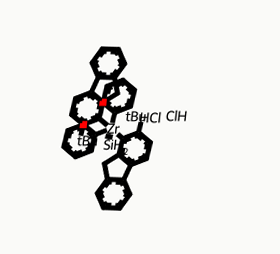 CC(C)(C)c1ccc2c([c]1[Zr](=[SiH2])([c]1ccccc1)([c]1ccccc1)[c]1c(C(C)(C)C)ccc3c1Cc1ccccc1-3)Cc1ccccc1-2.Cl.Cl